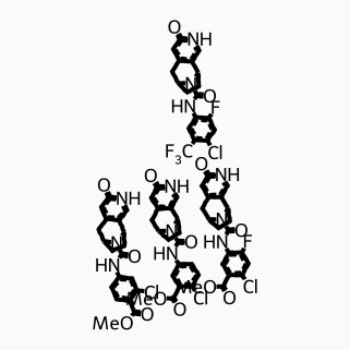 COC(=O)c1cc(NC(=O)N2C3CCC2c2c[nH]c(=O)cc2C3)c(F)cc1Cl.COC(=O)c1cc(NC(=O)N2C3CCC2c2c[nH]c(=O)cc2C3)ccc1Cl.COC(=O)c1ccc(NC(=O)N2C3CCC2c2c[nH]c(=O)cc2C3)cc1Cl.O=C(Nc1cc(C(F)(F)F)c(Cl)cc1F)N1C2CCC1c1c[nH]c(=O)cc1C2